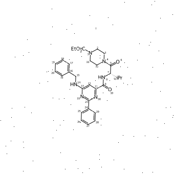 CCOC(=O)N1CCN(C(=O)[C@@H](NC(=O)c2cc(NCc3ccccc3)nc(-c3ccccc3)n2)C(C)C)CC1